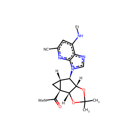 CCNc1cc(C#N)nc2c1ncn2[C@H]1[C@@H]2OC(C)(C)O[C@@H]2[C@]2(C(=O)NC)C[C@H]12